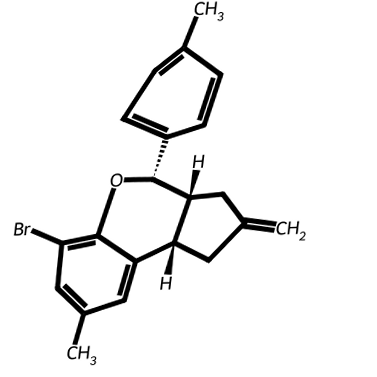 C=C1C[C@@H]2[C@H](C1)c1cc(C)cc(Br)c1O[C@@H]2c1ccc(C)cc1